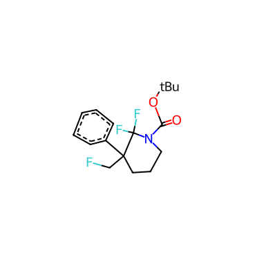 CC(C)(C)OC(=O)N1CCCC(CF)(c2ccccc2)C1(F)F